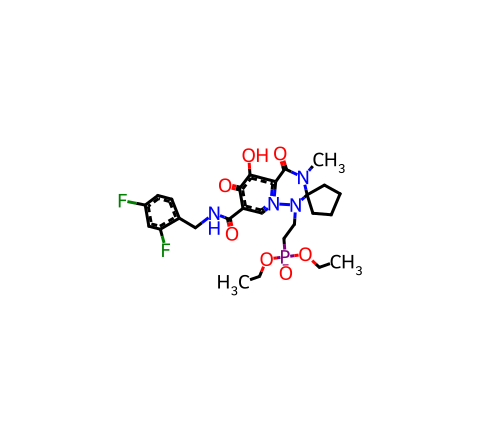 CCOP(=O)(CCN1n2cc(C(=O)NCc3ccc(F)cc3F)c(=O)c(O)c2C(=O)N(C)C12CCCC2)OCC